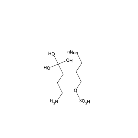 CCCCCCCCCCCCOS(=O)(=O)O.NCCCC(O)(O)O